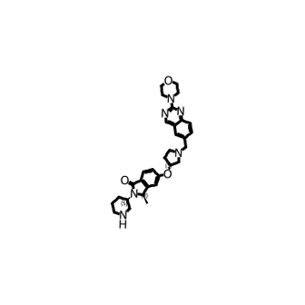 C[C@@H]1c2cc(O[C@H]3CCN(Cc4ccc5nc(N6CCOCC6)ncc5c4)C3)ccc2C(=O)N1[C@H]1CCCNC1